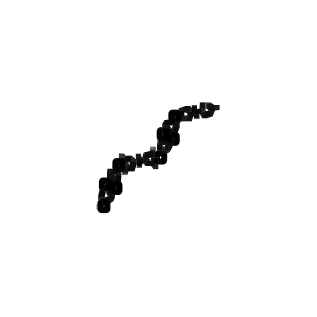 COc1ccc(S(=O)(=O)c2ccc(Oc3c(C)cc(C(C)(C)c4cc(C)c(Oc5ccc(S(=O)(=O)c6ccc(Oc7ccc(C(C)(C)c8ccc(C)cc8)cc7)cc6)cc5)c(C)c4)cc3C)cc2)cc1